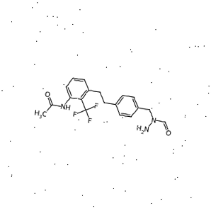 CC(=O)Nc1cccc(CCc2ccc(CN(N)C=O)cc2)c1C(F)(F)F